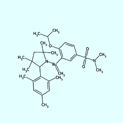 [CH2]=[Ru]([c]1cc(S(=O)(=O)N(C)C)ccc1OC(C)C)[N]1C(c2c(C)cc(C)cc2C)C(C)(C)CC1(C)C